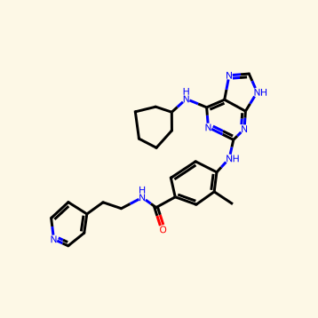 Cc1cc(C(=O)NCCc2ccncc2)ccc1Nc1nc(NC2CCCCC2)c2nc[nH]c2n1